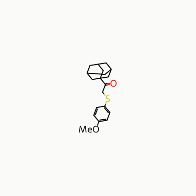 COc1ccc(SCC(=O)C23CC4CC(CC(C4)C2)C3)cc1